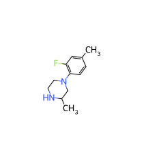 Cc1ccc(N2CCNC(C)C2)c(F)c1